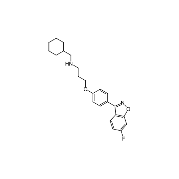 Fc1ccc2c(-c3ccc(OCCCNCC4CCCCC4)cc3)noc2c1